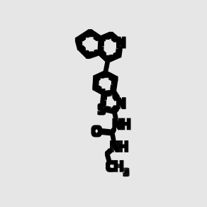 CCNC(=O)Nc1nc2cc(-c3cncc4ccccc34)ccc2s1